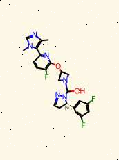 Cc1ncn(C)c1-c1ccc(F)c(OC2CN(C(O)N3N=CC[C@H]3c3cc(F)cc(F)c3)C2)n1